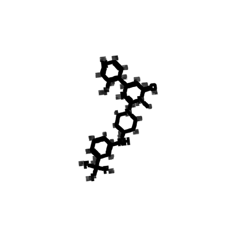 Cn1c(N2CCC(Nc3cccc(C(F)(F)F)c3)CC2)nc(-c2ccncc2F)cc1=O